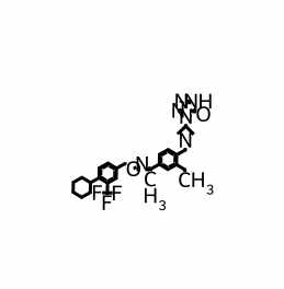 CCc1cc(/C(C)=N/OCc2ccc(C3CCCCC3)c(C(F)(F)F)c2)ccc1CN1CC(n2nn[nH]c2=O)C1